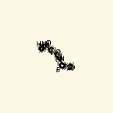 O=C(Cc1nnc(-c2cc(F)cc(N3CCOCC3)c2)o1)N1CCC(n2c(=O)[nH]c3ncccc32)CC1